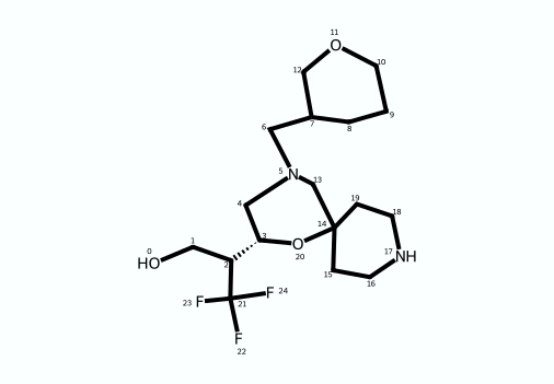 OCC([C@@H]1CN(CC2CCCOC2)CC2(CCNCC2)O1)C(F)(F)F